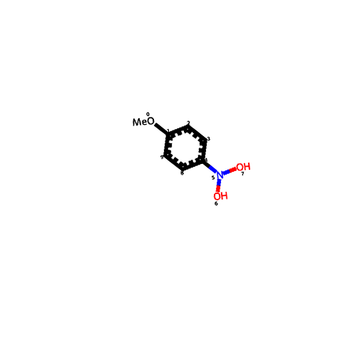 COc1ccc(N(O)O)cc1